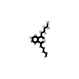 C=C(CCCCC)c1ccccc1C(=C)CCCCC